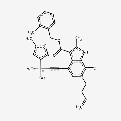 C=CCCn1cc(C#C[C@@](C)(O)c2cc(C)on2)c2c(C(=O)OCc3ccccc3C)c(C)[nH]c2c1=O